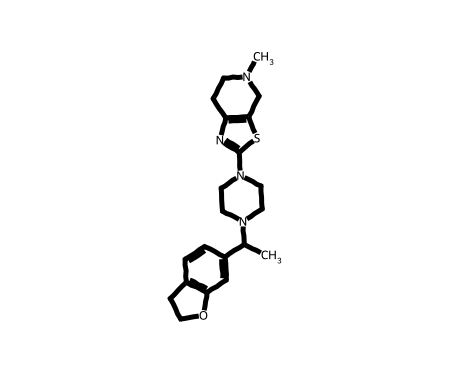 CC(c1ccc2c(c1)OCC2)N1CCN(c2nc3c(s2)CN(C)CC3)CC1